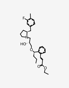 CCC[C@@H](OC[C@H](O)CN1CCC[C@H]1Cc1ccc(C)c(F)c1)c1ccccc1/C=C/C(=O)OCC